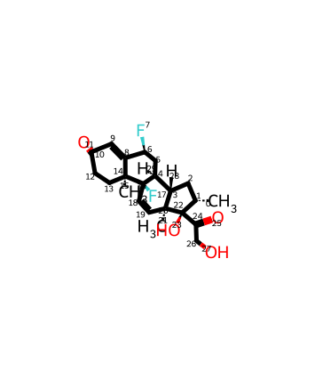 C[C@H]1C[C@H]2[C@@H]3C[C@H](F)C4=CC(=O)CC[C@]4(C)[C@@]3(F)C=C[C@]2(C)[C@@]1(O)C(=O)CO